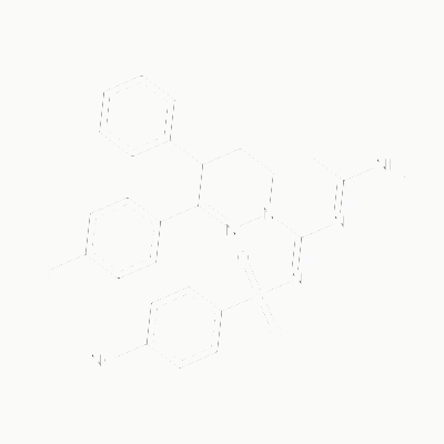 C/C(N)=N\C(=N\S(=O)(=O)c1ccc(C#N)cc1)N1CCC(c2ccccc2)C(c2ccc(Cl)cc2)=N1